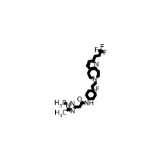 Cc1nc(CC(=O)N[C@H]2CC[C@](F)(CCN3CCc4ccc(CCC(F)(F)F)nc4CC3)CC2)nn1C